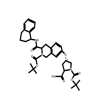 CC(C)(C)OC(=O)N1C[C@@H](Oc2ccc3c(c2)CN(C(=O)OC(C)(C)C)C(C(=O)NC2CCCc4ccccc42)C3)CC1C(=O)O